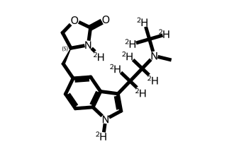 [2H]N1C(=O)OC[C@@H]1Cc1ccc2c(c1)c(C([2H])([2H])C([2H])([2H])N(C)C([2H])([2H])[2H])cn2[2H]